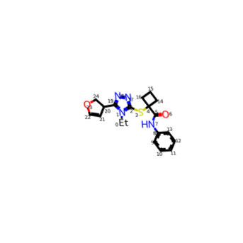 CCn1c(SC2(C(=O)Nc3ccccc3)CCC2)nnc1C1C=COC1